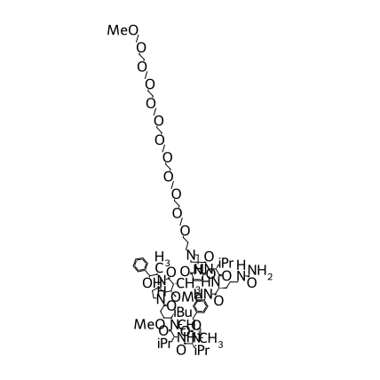 CC[C@H](C)[C@@H]([C@@H](CC(=O)N1CCC[C@H]1[C@H](OC)[C@@H](C)C(=O)N[C@H](C)[C@@H](O)c1ccccc1)OC)N(C)C(=O)[C@@H](NC(=O)[C@H](C(C)C)N(C)C(=O)OCc1ccc(NC(=O)[C@H](CCCNC(N)=O)NC(=O)[C@@H](NC(=O)C2(N3C(=O)C=CC3=O)CN(CCCOCCOCCOCCOCCOCCOCCOCCOCCOCCOCCOCCOC)C2)C(C)C)cc1)C(C)C